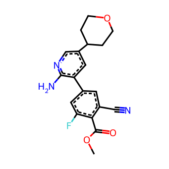 COC(=O)c1c(F)cc(-c2cc(C3CCOCC3)cnc2N)cc1C#N